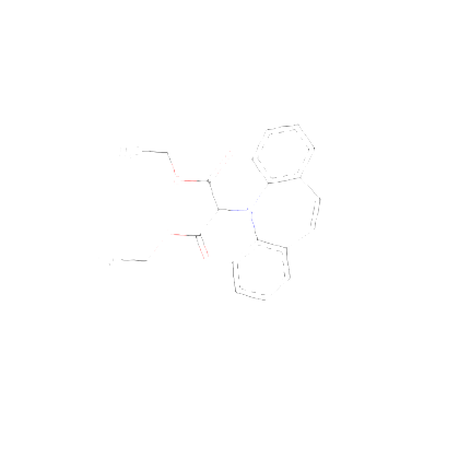 CCOC(=O)C(C(=O)OCC)N1c2ccccc2C=Cc2ccccc21